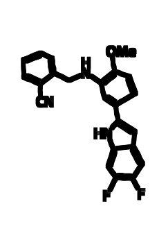 COc1ccc(-c2cc3cc(F)c(F)cc3[nH]2)cc1NCc1ccccc1C#N